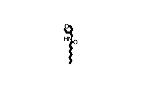 CCCCCC=CC(=O)NCC1CCOCC1